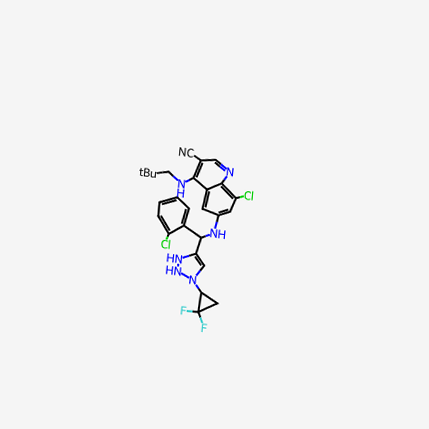 CC(C)(C)CNc1c(C#N)cnc2c(Cl)cc(NC(C3=CN(C4CC4(F)F)NN3)c3ccccc3Cl)cc12